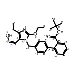 CCOc1nc(CC)c(/C=N\O)n1Cc1ccc(-c2ccccc2C(=O)OC(C)(C)C)cc1